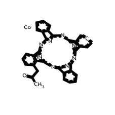 CC(=O)Cc1cccc2c3nc4nc(nc5[nH]c(nc6nc(nc([nH]3)c12)-c1ccccc1-6)c1ccccc51)-c1ccccc1-4.[Co]